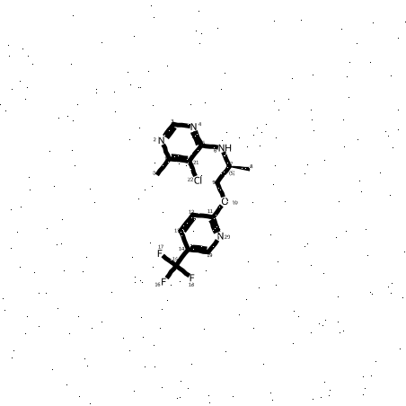 Cc1ncnc(N[C@@H](C)COc2ccc(C(F)(F)F)cn2)c1Cl